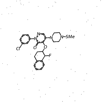 CSN1CCN(c2cnn(-c3cccc(Cl)c3)c(=O)c2OC2CCc3ccccc3C2F)CC1